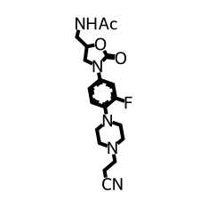 CC(=O)NCC1CN(c2ccc(N3CCN(CCC#N)CC3)c(F)c2)C(=O)O1